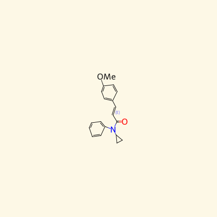 COc1ccc(/C=C/C(=O)N(c2ccccc2)C2CC2)cc1